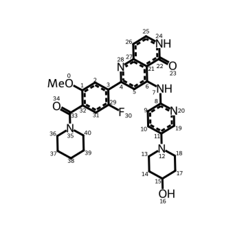 COc1cc(-c2cc(Nc3ccc(N4CCC(O)CC4)cn3)c3c(=O)[nH]ccc3n2)c(F)cc1C(=O)N1CCCCC1